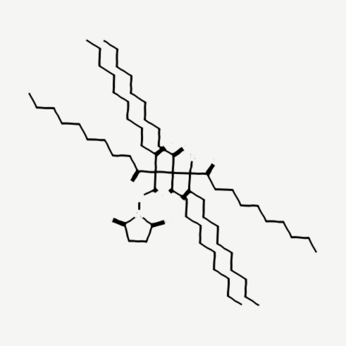 CCCCCCCCCC(=O)C(N)(C(=O)CCCCCCCCC)C(C(=O)CCCCCCCCC)(C(=O)CCCCCCCCC)C(C(=O)CCCCCCCCC)(C(=O)CCCCCCCCC)C(=O)ON1C(=O)CCC1=O